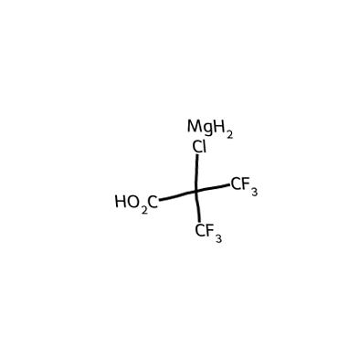 O=C(O)C(Cl)(C(F)(F)F)C(F)(F)F.[MgH2]